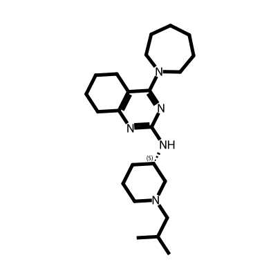 CC(C)CN1CCC[C@H](Nc2nc3c(c(N4CCCCCC4)n2)CCCC3)C1